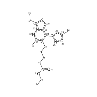 CCOC(=O)CCCCc1c(C)nn2c(CC)ccc2c1-c1cc(C)on1